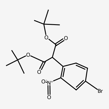 CC(C)(C)OC(=O)C(C(=O)OC(C)(C)C)c1ccc(Br)cc1[N+](=O)[O-]